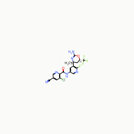 C[C@]1(c2cc(NC(=O)c3ncc(C#N)cc3Cl)cnc2F)C[C@@H](C(F)(F)F)OC(N)=N1